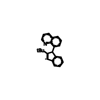 CC(C)(C)C1=[C]c2ccccc2C1c1cccc2cccnc12